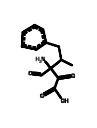 CC(Cc1ccccc1)C(N)(C=O)C(=O)C(=O)O